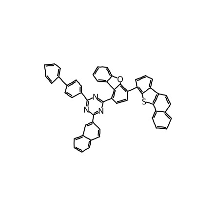 c1ccc(-c2ccc(-c3nc(-c4ccc5ccccc5c4)nc(-c4ccc(-c5cccc6c5sc5c7ccccc7ccc65)c5oc6ccccc6c45)n3)cc2)cc1